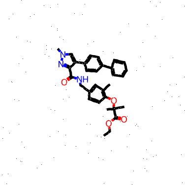 CCOC(=O)C(C)(C)Oc1ccc(CNC(=O)c2nn(C)cc2-c2ccc(-c3ccccc3)cc2)cc1C